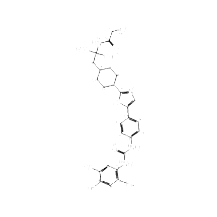 CC(C)(CC1CCC(c2ncc(-c3ccc(NC(=O)Nc4cc(F)c(F)cc4F)cc3)s2)CC1)NC(=O)CCl